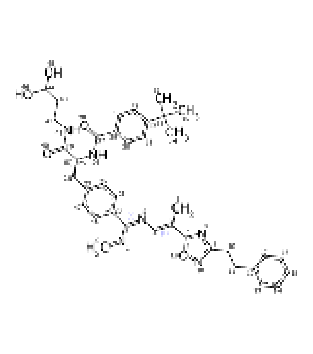 C=N/C(=N\C=C(/C)c1nc(CCc2ccccc2)no1)c1ccc(C[C@H](NC(=O)c2ccc(C(C)(C)C)cc2)C(=O)NCCC(O)O)cc1